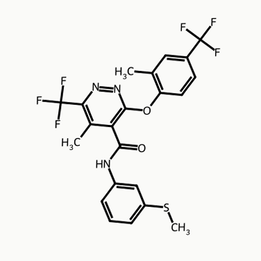 CSc1cccc(NC(=O)c2c(Oc3ccc(C(F)(F)F)cc3C)nnc(C(F)(F)F)c2C)c1